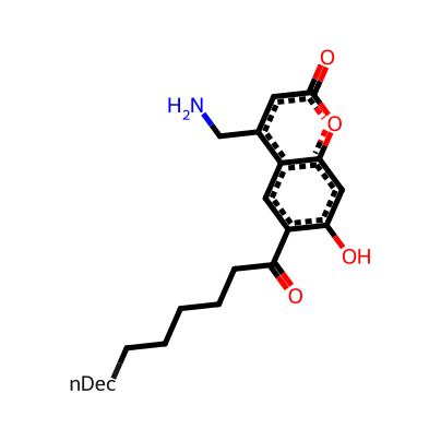 CCCCCCCCCCCCCCCC(=O)c1cc2c(CN)cc(=O)oc2cc1O